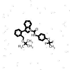 CC(C)(C)OCc1ccccc1-c1cn(C(=O)Nc2ccc(OC(C)(F)F)cc2)c2ccccc12